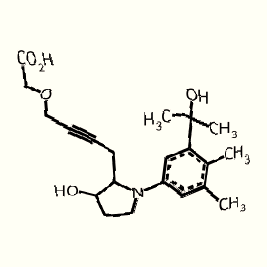 Cc1cc(N2CCC(O)C2CC#CCOCC(=O)O)cc(C(C)(C)O)c1C